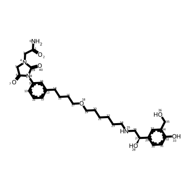 NC(=O)CN1CC(=O)N(c2cccc(CCCCOCCCCCCNC[C@H](O)c3ccc(O)c(CO)c3)c2)C1=O